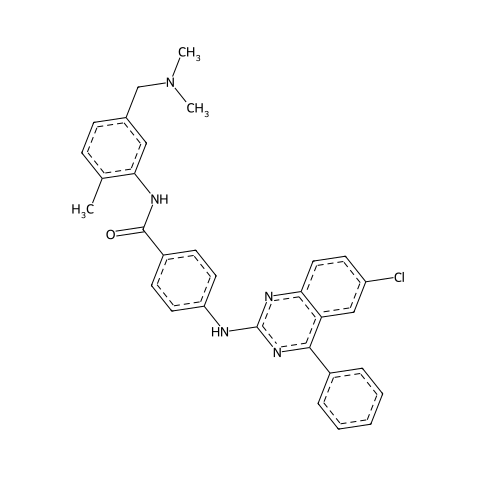 Cc1ccc(CN(C)C)cc1NC(=O)c1ccc(Nc2nc(-c3ccccc3)c3cc(Cl)ccc3n2)cc1